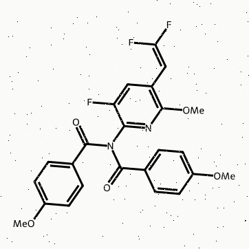 COc1ccc(C(=O)N(C(=O)c2ccc(OC)cc2)c2nc(OC)c(C=C(F)F)cc2F)cc1